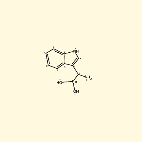 NC(c1c[nH]c2ccccc12)P(O)O